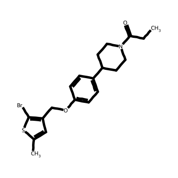 CCC(=O)N1CCC(c2ccc(OCc3cc(C)sc3Br)cc2)CC1